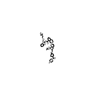 CN1CCN(C(=O)c2ccc(OCCCc3ccc(N4CCc5cccc(C(=O)/N=c6\sc7ccccc7n6COCC[Si](C)(C)C)c5C4)nc3C(=O)OC(C)(C)C)cc2)CC1